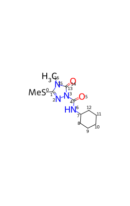 CSc1nn(C(=O)NC2CCCCC2)c(=O)n1C